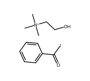 C[N+](C)(C)CCO.O=C(I)c1ccccc1